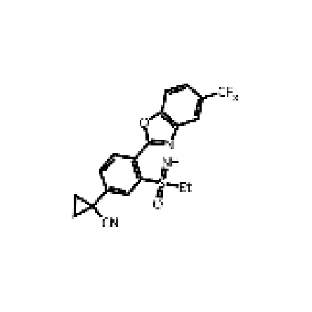 CCS(=N)(=O)c1cc(C2(C#N)CC2)ccc1-c1nc2cc(C(F)(F)F)ccc2o1